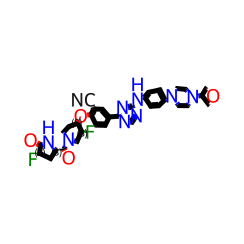 N#Cc1cc(-c2ncnc(Nc3ccc(N4CCN(C5COC5)CC4)cc3)n2)ccc1O[C@H]1CCN(C(=O)[C@@H]2C[C@H](F)C(=O)N2)C[C@@H]1F